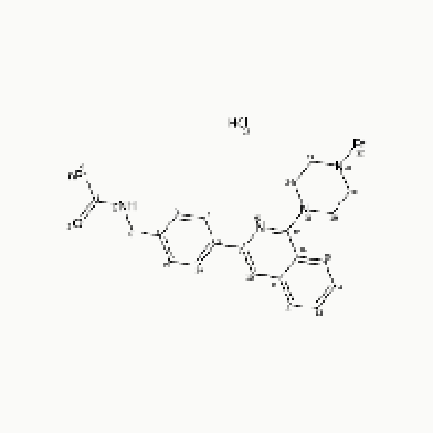 CCCC(=O)NCc1ccc(-c2cc3ccccc3c(N3CCN(CC)CC3)n2)cc1.Cl